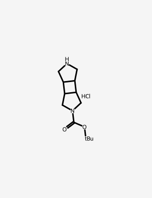 CC(C)(C)OC(=O)N1CC2C3CNCC3C2C1.Cl